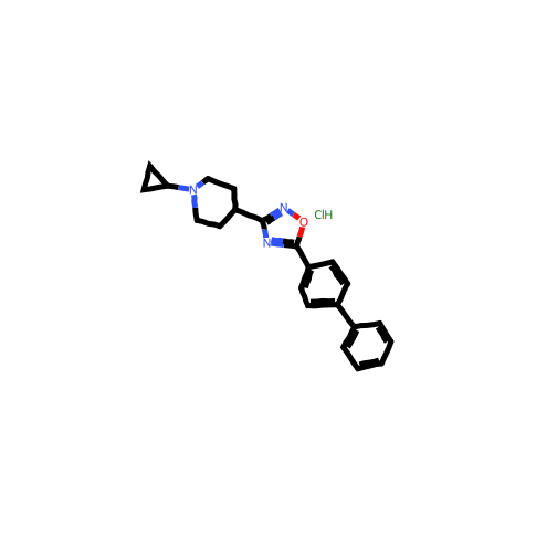 Cl.c1ccc(-c2ccc(-c3nc(C4CCN(C5CC5)CC4)no3)cc2)cc1